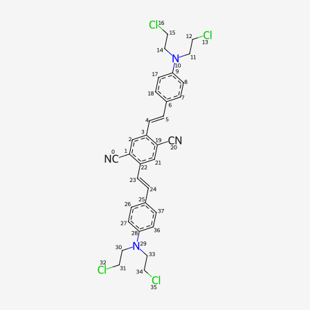 N#Cc1cc(C=Cc2ccc(N(CCCl)CCCl)cc2)c(C#N)cc1C=Cc1ccc(N(CCCl)CCCl)cc1